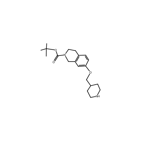 CC(C)(C)OC(=O)N1CCc2ccc(OCC3CCNCC3)cc2C1